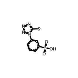 O=S(=O)(O)c1cccc(-n2nnnc2[S])c1